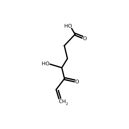 C=CC(=O)C(O)C[CH]C(=O)O